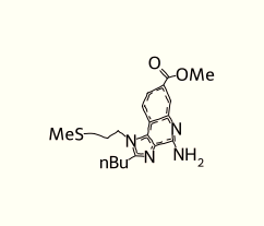 CCCCc1nc2c(N)nc3cc(C(=O)OC)ccc3c2n1CCCSC